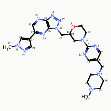 CN1CCN(Cc2cnc(N3CCO[C@H](Cn4nnc5ncc(-c6cnn(C)c6)nc54)C3)nc2)CC1